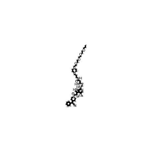 CCCOCCOCCOCCOCCN1CCN(CCCNC(=O)CC(=N)/N=C\Nc2ncc(OC)c3c(C(=O)C(=O)N4CCC(=C(C#N)c5ccccc5)CC4)c[nH]c23)CC1